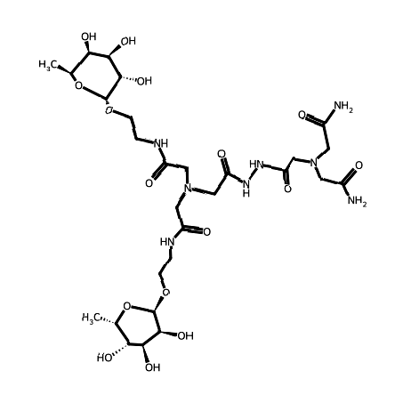 C[C@@H]1O[C@@H](OCCNC(=O)CN(CC(=O)NCCO[C@@H]2O[C@@H](C)[C@@H](O)[C@@H](O)[C@@H]2O)CC(=O)NNC(=O)CN(CC(N)=O)CC(N)=O)[C@@H](O)[C@@H](O)[C@@H]1O